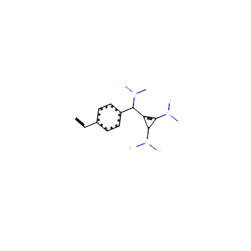 C=Cc1ccc(C(C2=C(N(C(C)C)C(C)C)C2N(C(C)C)C(C)C)N(C)Cl)cc1